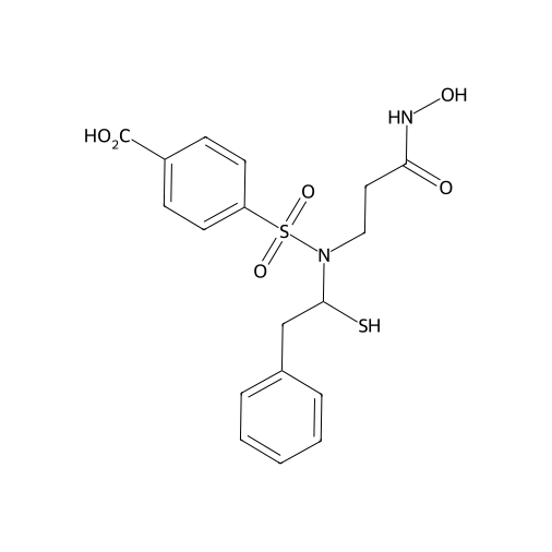 O=C(CCN(C(S)Cc1ccccc1)S(=O)(=O)c1ccc(C(=O)O)cc1)NO